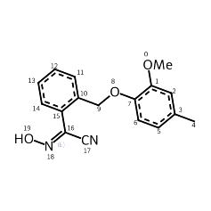 COc1cc(C)ccc1OCc1ccccc1/C(C#N)=N\O